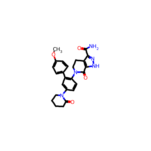 COc1ccc(-c2cc(N3CCCCC3=O)ccc2N2CCc3c(C(N)=O)n[nH]c3C2=O)cc1